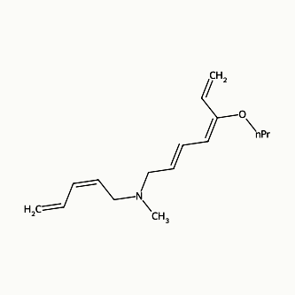 C=C/C=C\CN(C)C/C=C/C=C(\C=C)OCCC